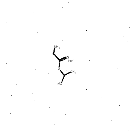 CC(OC(=O)CN)C(C)(C)C.Cl